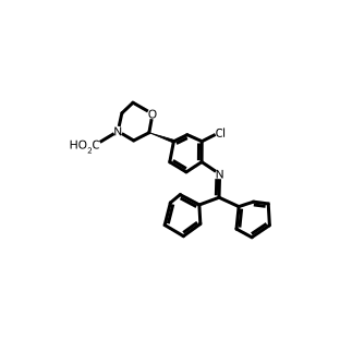 O=C(O)N1CCO[C@@H](c2ccc(N=C(c3ccccc3)c3ccccc3)c(Cl)c2)C1